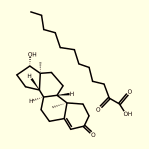 CCCCCCCCCCC(=O)C(=O)O.C[C@]12CC[C@H]3[C@@H](CCC4=CC(=O)CC[C@@]43C)[C@@H]1CC[C@@H]2O